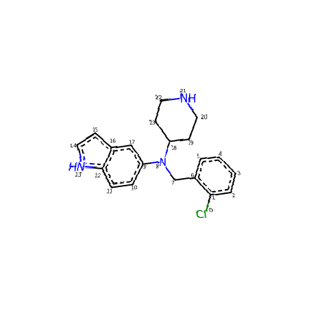 Clc1ccccc1CN(c1ccc2[nH]ccc2c1)C1CCNCC1